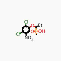 CCC(Oc1cc([N+](=O)[O-])c(Cl)cc1Cl)P(C)(=O)O